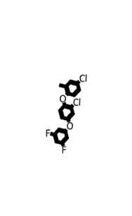 Cc1cc(Cl)ccc1Oc1ccc(Oc2cc(F)cc(F)c2)cc1Cl